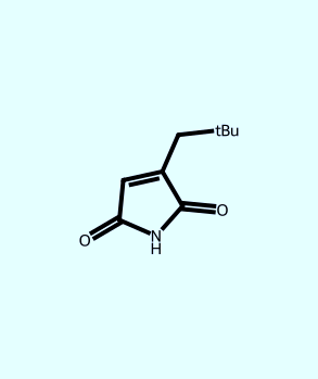 CC(C)(C)CC1=CC(=O)NC1=O